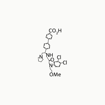 COCCN(CC(=O)CNC(CN1CCCC1)c1ccc(-c2ccc(C(=O)O)cc2)cc1)c1ccc(Cl)c(Cl)c1